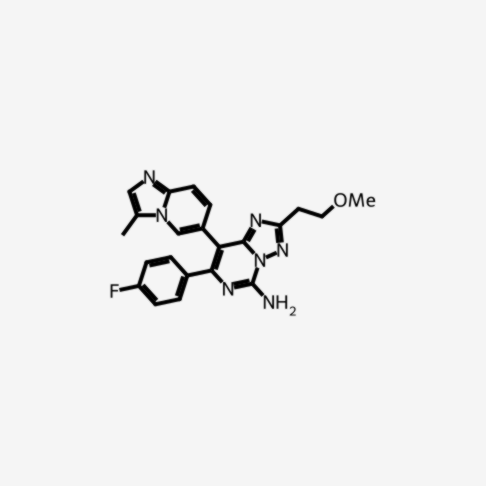 COCCc1nc2c(-c3ccc4ncc(C)n4c3)c(-c3ccc(F)cc3)nc(N)n2n1